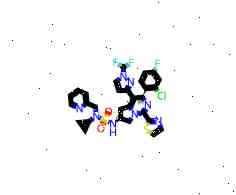 O=S(=O)(N[C@H]1CC2=C(c3ccn(C(F)F)n3)[C@H](c3ccc(F)cc3Cl)N=C(c3nccs3)N2C1)N(Cc1ccccn1)C1CC1